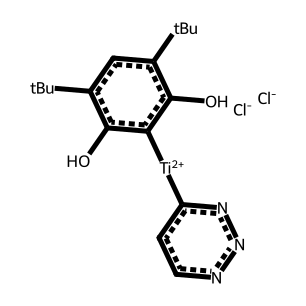 CC(C)(C)c1cc(C(C)(C)C)c(O)[c]([Ti+2][c]2ccnnn2)c1O.[Cl-].[Cl-]